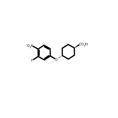 CCOC(=O)[C@H]1CC[C@H](Oc2ccc([N+](=O)[O-])c(F)c2)CC1